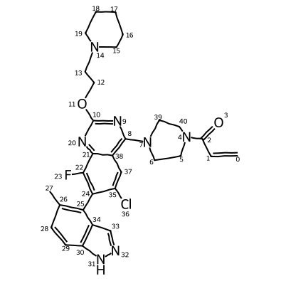 C=CC(=O)N1CCN(c2nc(OCCN3CCCCC3)nc3c(F)c(-c4c(C)ccc5[nH]ncc45)c(Cl)cc23)CC1